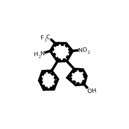 Nc1c(C(F)(F)F)cc([N+](=O)[O-])c(-c2ccc(O)cc2)c1-c1ccccc1